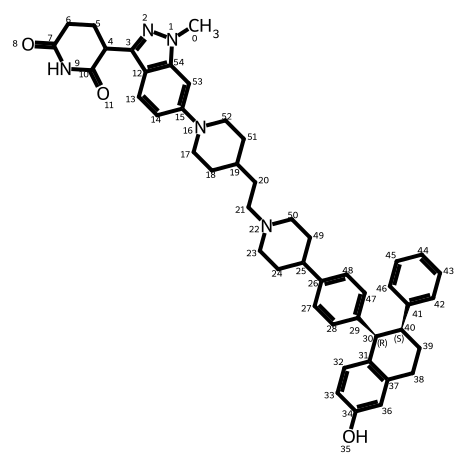 Cn1nc(C2CCC(=O)NC2=O)c2ccc(N3CCC(CCN4CCC(c5ccc([C@@H]6c7ccc(O)cc7CC[C@@H]6c6ccccc6)cc5)CC4)CC3)cc21